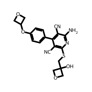 N#Cc1c(N)nc(SCC2(O)COC2)c(C#N)c1-c1ccc(OC2COC2)cc1